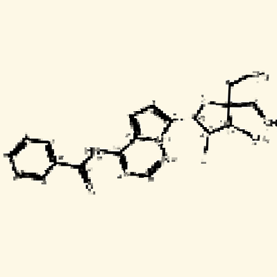 CCC1(CC)O[C@@H](c2ccc3c(NC(=O)c4ccccc4)ncnn23)[C@H](F)[C@@H]1C